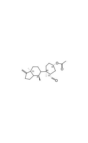 C=C1CCC2[C@H](C)C([C@@]3(C)CC[C@H](OC(C)=O)C[C@@H]3C=O)CC[C@]12C